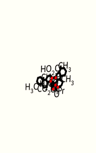 C=C1OC(=O)C2C3CC4C5(C)CCCC(C)(C(=O)O)C5CCC4(C(OC4C(C(C)C)C5CC6C7(C)CCCC(C)(C(=O)O)C7CCC46C4C(=O)OC(=O)C54)C3C(C)C)C12